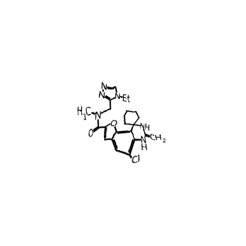 C=C1Nc2c(Cl)cc3cc(C(=O)N(C)Cc4nncn4CC)oc3c2C2(CCCCC2)N1